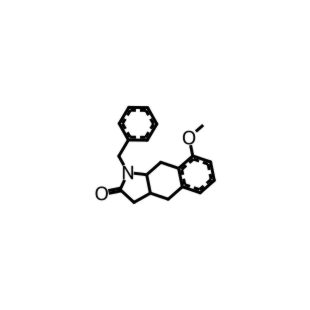 COc1cccc2c1CC1C(CC(=O)N1Cc1ccccc1)C2